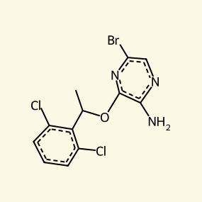 CC(Oc1nc(Br)cnc1N)c1c(Cl)cccc1Cl